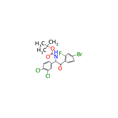 CC(C)(C)OC(=O)NC(C(=O)c1ccc(Br)cc1F)c1ccc(Cl)c(Cl)c1